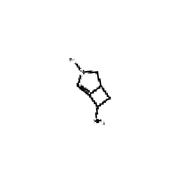 CCN1C=C2C(N)CC2C1